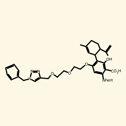 C=C(C)C1CCC(C)=CC1c1c(OCCOCCOCc2cn(Cc3ccccc3)nn2)cc(CCCCC)c(C(=O)O)c1O